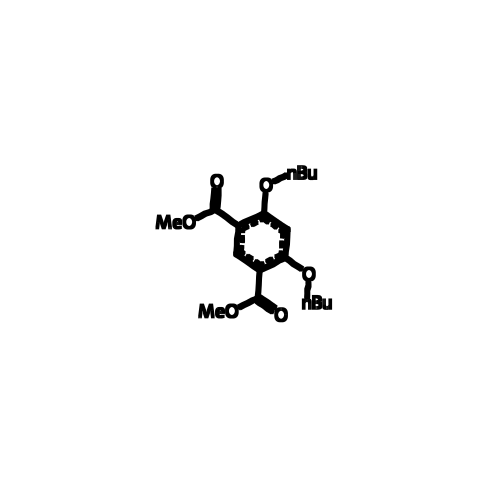 CCCCOc1cc(OCCCC)c(C(=O)OC)cc1C(=O)OC